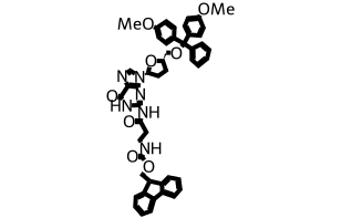 COc1ccc(C(OC[C@@H]2CC[C@H](n3cnc4c(=O)[nH]c(NC(=O)CCNC(=O)OCC5c6ccccc6-c6ccccc65)nc43)O2)(c2ccccc2)c2ccc(OC)cc2)cc1